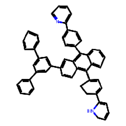 C1=CCNC(C2=CC=C(c3c4ccccc4c(-c4ccc(-c5ccccn5)cc4)c4cc(-c5cc(-c6ccccc6)cc(-c6ccccc6)c5)ccc34)CC2)=C1